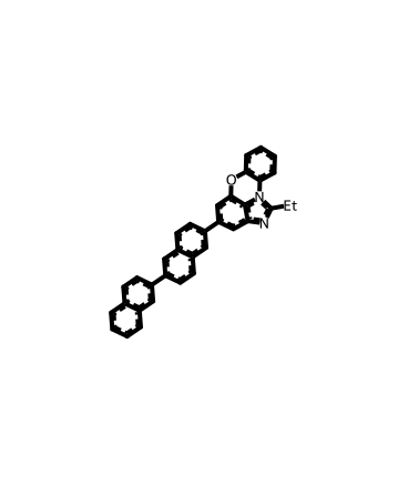 CCc1nc2cc(-c3ccc4cc(-c5ccc6ccccc6c5)ccc4c3)cc3c2n1-c1ccccc1O3